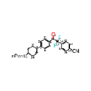 CCCCCC1CCC(c2ccc(C(=O)C(F)(F)c3ccc(C#N)cc3)cc2)CC1